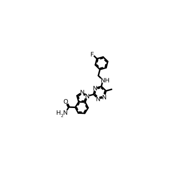 Cc1nnc(-n2ncc3c(C(N)=O)cccc32)nc1NCc1cccc(F)c1